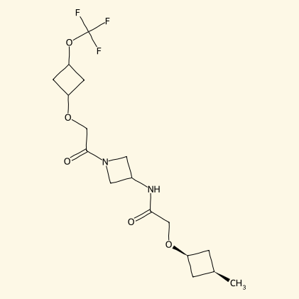 C[C@H]1C[C@@H](OCC(=O)NC2CN(C(=O)COC3CC(OC(F)(F)F)C3)C2)C1